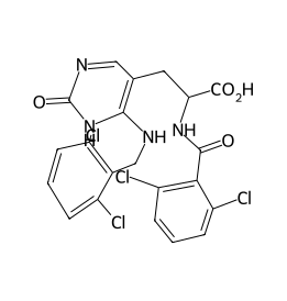 O=C(NC(Cc1cnc(=O)[nH]c1NCc1c(Cl)cccc1Cl)C(=O)O)c1c(Cl)cccc1Cl